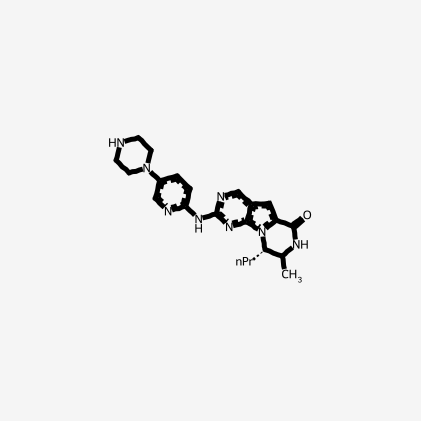 CCC[C@H]1C(C)NC(=O)c2cc3cnc(Nc4ccc(N5CCNCC5)cn4)nc3n21